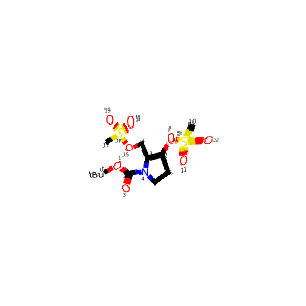 CC(C)(C)OC(=O)N1CCC(OS(C)(=O)=O)C1COS(C)(=O)=O